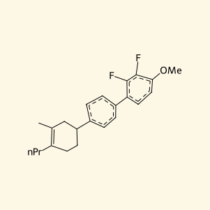 CCCC1=C(C)CC(c2ccc(-c3ccc(OC)c(F)c3F)cc2)CC1